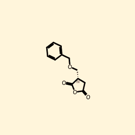 O=C1C[C@@H](COCc2ccccc2)C(=O)O1